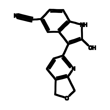 N#Cc1ccc2[nH]c(O)c(-c3ccc4c(n3)COC4)c2c1